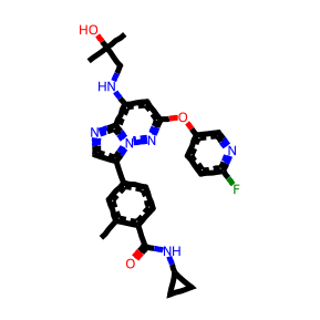 Cc1cc(-c2cnc3c(NCC(C)(C)O)cc(Oc4ccc(F)nc4)nn23)ccc1C(=O)NC1CC1